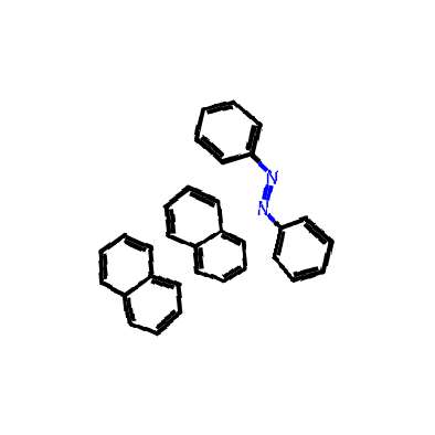 c1ccc(N=Nc2ccccc2)cc1.c1ccc2ccccc2c1.c1ccc2ccccc2c1